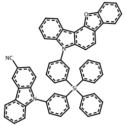 N#Cc1ccc2c(c1)c1ccccc1n2-c1cccc([Si](c2ccccc2)(c2ccccc2)c2cccc(-n3c4ccccc4c4c5oc6ccccc6c5ccc43)c2)c1